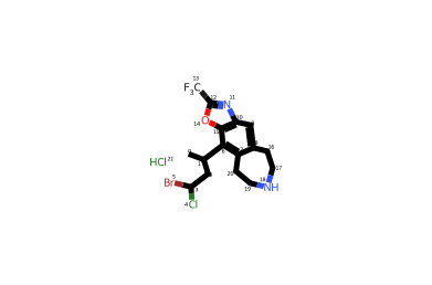 CC(CC(Cl)Br)c1c2c(cc3nc(C(F)(F)F)oc13)CCNCC2.Cl